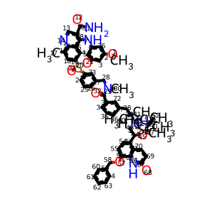 COc1cccc(Nc2c(C(N)=O)cnc3c(C)cc(S(=O)(=O)c4cccc(CN(C)C(=O)c5cccc(CC(C)(C)NCC(O[Si](C)(C)C(C)(C)C)c6ccc(OCc7ccccc7)c7[nH]c(=O)ccc67)c5)c4)cc23)c1